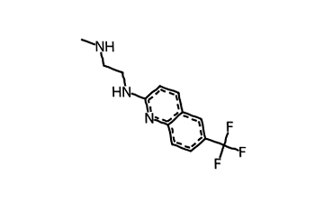 CNCCNc1ccc2cc(C(F)(F)F)ccc2n1